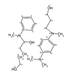 CCC(O)N(C)c1ccccc1.CCO.CN(C)c1ccc(N(C)CCCO)cc1